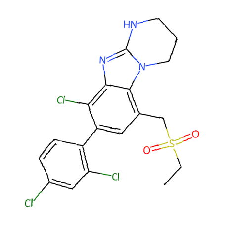 CCS(=O)(=O)Cc1cc(-c2ccc(Cl)cc2Cl)c(Cl)c2nc3n(c12)CCCN3